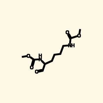 COC(=O)NCCCCC(C=O)NC(=O)OC